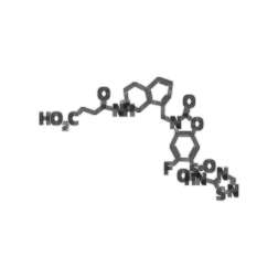 O=C(O)CCC(=O)N[C@H]1CCc2cccc(Cn3c(=O)oc4cc(S(=O)(=O)Nc5ncns5)c(F)cc43)c2C1